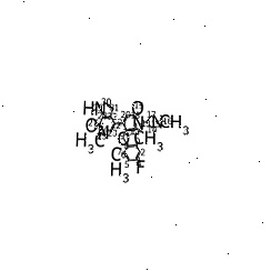 Cc1cc(F)cc(C)c1Oc1cn(C2CN(C)C2)c(=O)cc1-c1cn(C)c(=O)c2[nH]ccc12